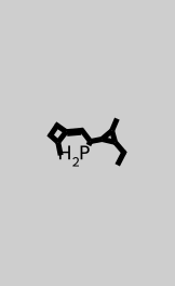 CCC1C(C)C1C(P)/C=C1/CCC1C